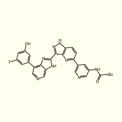 CCCCC(=O)Nc1cncc(-c2ccc3[nH]nc(-c4nc5c(-c6cc(O)cc(F)c6)cncc5[nH]4)c3n2)c1